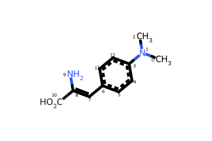 CN(C)c1ccc(/C=C(\N)C(=O)O)cc1